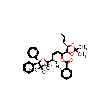 CC(O[Si](c1ccccc1)(c1ccccc1)C(C)(C)C)[C@H](C)/C=C\C(OC(=O)c1ccccc1)C1OC(C)(C)O[C@H]1CCI